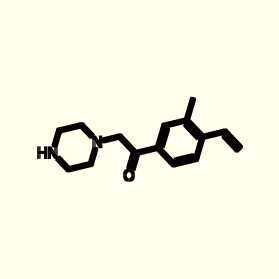 C=Cc1ccc(C(=O)CN2CCNCC2)cc1C